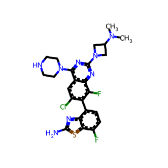 CN(C)C1CN(c2nc(N3CCNCC3)c3cc(Cl)c(-c4ccc(F)c5sc(N)nc45)c(F)c3n2)C1